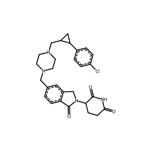 O=C1CCC(N2Cc3cc(CN4CCN(CC5CC5c5ccc(Cl)cc5)CC4)ccc3C2=O)C(=O)N1